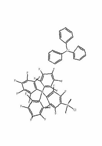 C[Si](C)(Cl)c1c(F)c(F)c([B-](c2c(F)c(F)c(F)c(F)c2F)(c2c(F)c(F)c(F)c(F)c2F)c2c(F)c(F)c(F)c(F)c2F)c(F)c1F.c1ccc([C+](c2ccccc2)c2ccccc2)cc1